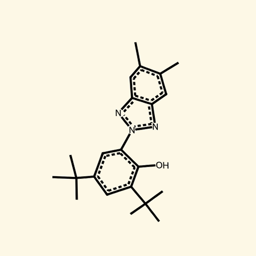 Cc1cc2nn(-c3cc(C(C)(C)C)cc(C(C)(C)C)c3O)nc2cc1C